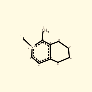 Cc1c2c(cc[n+]1I)CCCC2